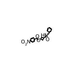 O=C(OC1CC(C(=O)NCc2ccccc2)C1)c1ccc([N+](=O)[O-])cc1